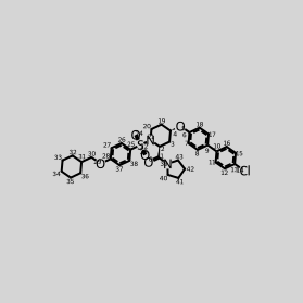 O=C([C@@H]1C[C@@H](Oc2ccc(-c3ccc(Cl)cc3)cc2)CCN1S(=O)(=O)c1ccc(OCC2CCCCC2)cc1)N1CCCC1